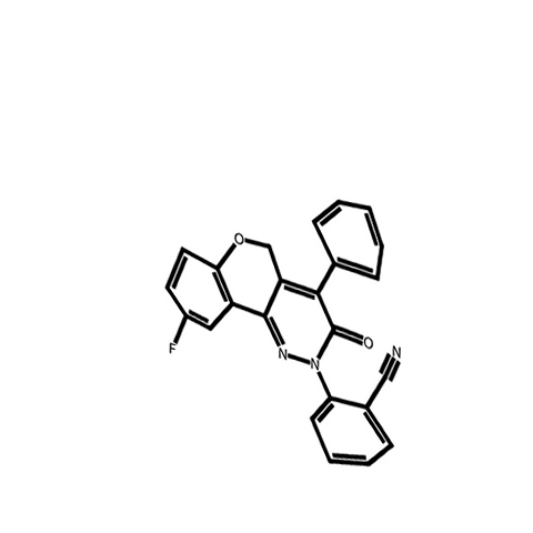 N#Cc1ccccc1-n1nc2c(c(-c3ccccc3)c1=O)COc1ccc(F)cc1-2